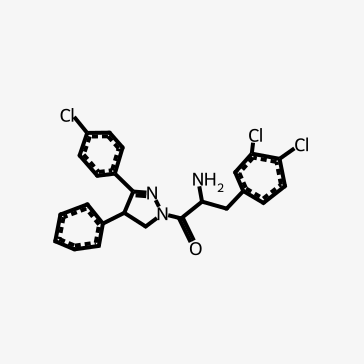 NC(Cc1ccc(Cl)c(Cl)c1)C(=O)N1CC(c2ccccc2)C(c2ccc(Cl)cc2)=N1